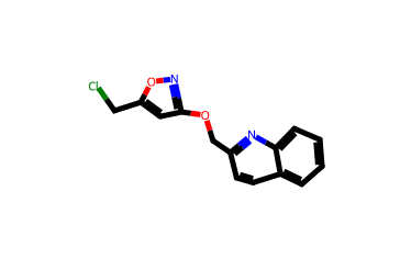 ClCc1cc(OCc2ccc3ccccc3n2)no1